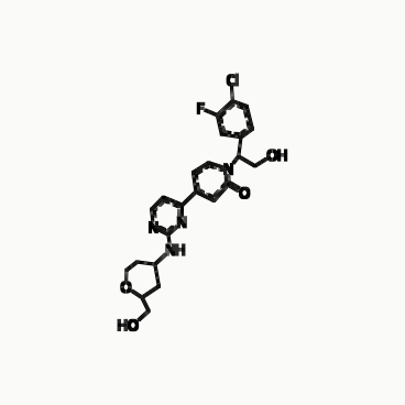 O=c1cc(-c2ccnc(NC3CCOC(CO)C3)n2)ccn1C(CO)c1ccc(Cl)c(F)c1